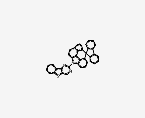 c1ccc2c(c1)-c1ccccc1C21c2cccc3ccc4c(c23)c2c1cccc2n4-c1ncc2sc3ccccc3c2n1